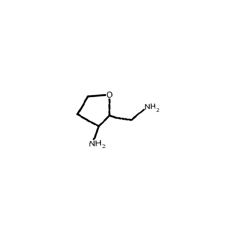 NCC1OCCC1N